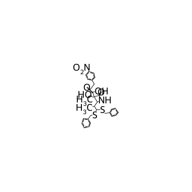 CC(C(SCc1ccccc1)SCc1ccccc1)C1NC(=O)C1(C)C(O)(O)C(=O)Cc1ccc([N+](=O)[O-])cc1